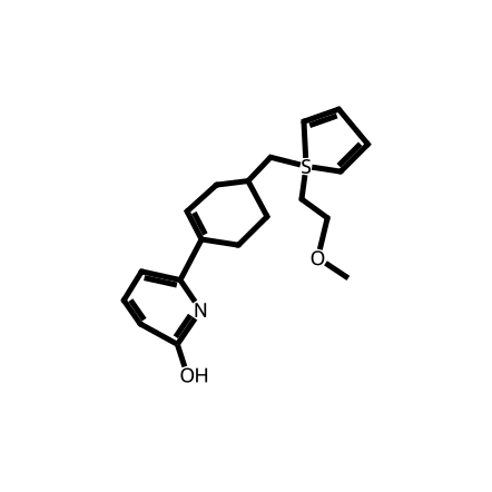 COCCS1(CC2CC=C(c3cccc(O)n3)CC2)C=CC=C1